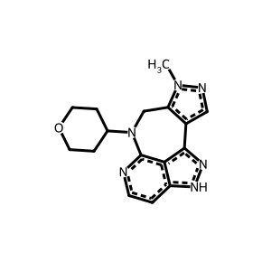 Cn1ncc2c1CN(C1CCOCC1)c1nccc3[nH]nc-2c13